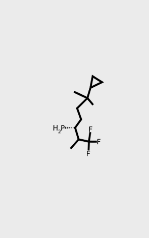 CC([C@H](P)CCC(C)(C)C1CC1)C(F)(F)F